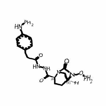 O=C(Cc1ccc(NP)cc1)NNC(=O)[C@@H]1CC[C@H]2CN1C(=O)N2OP